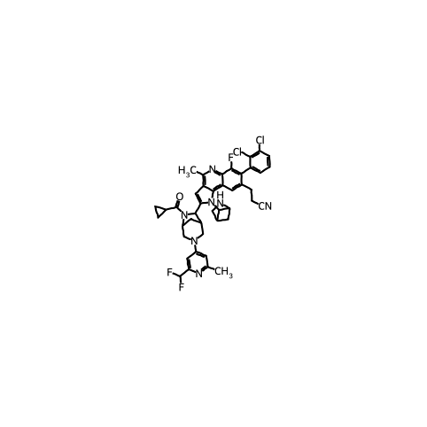 Cc1cc(N2CC3CC(C2)N(C(=O)C2CC2)C3c2cc3c(C)nc4c(F)c(-c5cccc(Cl)c5Cl)c(CCC#N)cc4c3n2C2C3CNC2C3)cc(C(F)F)n1